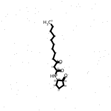 CCCCCCCCCC(=O)CC(=O)N[C@H]1CCCC1=O